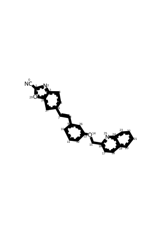 N#Cc1nc2ccc(/C=C/c3cccc(OCc4ccc5ccccc5n4)c3)cc2o1